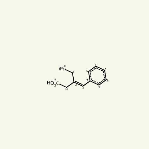 CC(C)C/C(=C\c1ccccc1)CC(=O)O